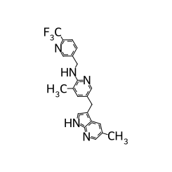 Cc1cnc2[nH]cc(Cc3cnc(NCc4ccc(C(F)(F)F)nc4)c(C)c3)c2c1